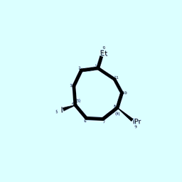 CCC1CC[C@H](I)CC[C@H](C(C)C)CC1